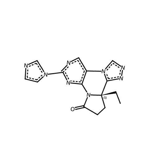 CC[C@@]12CCC(=O)N1c1nc(-n3ccnc3)ncc1-n1cnnc12